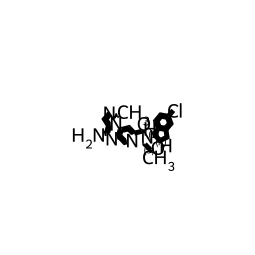 Cc1ncc2c(N)nc3cnc(C(=O)N4C[C@H](C)O[C@@H]5Cc6cc(Cl)ccc6[C@@H]54)cc3n12